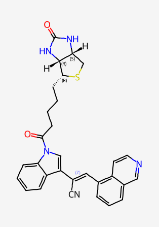 N#C/C(=C\c1cccc2cnccc12)c1cn(C(=O)CCCC[C@H]2SC[C@H]3NC(=O)N[C@H]32)c2ccccc12